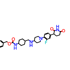 O=C1CCC(c2ccc(N3CCC(NCC4CCC(NC(=O)OCc5ccccc5)CC4)CC3)c(F)c2)C(=O)N1